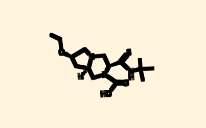 CCO[C@@H]1C[C@@H]2CN(C(=O)O)[C@H](C(=S)NC(C)(C)C)CN2C1